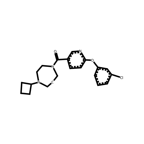 O=C(c1ccc(Oc2cccc(Cl)c2)nc1)N1CCCN(C2CCC2)CC1